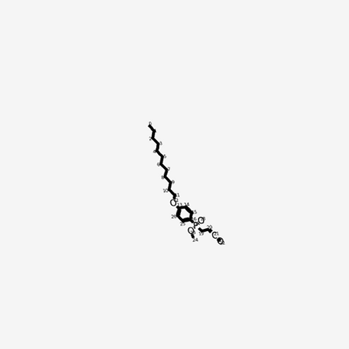 CCCCCCCCCCCCOc1ccc(P(=O)(CC=C=O)OC)cc1